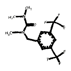 CN(C)C(=O)N(C)Cc1cc(C(F)(F)F)cc(C(F)(F)F)c1